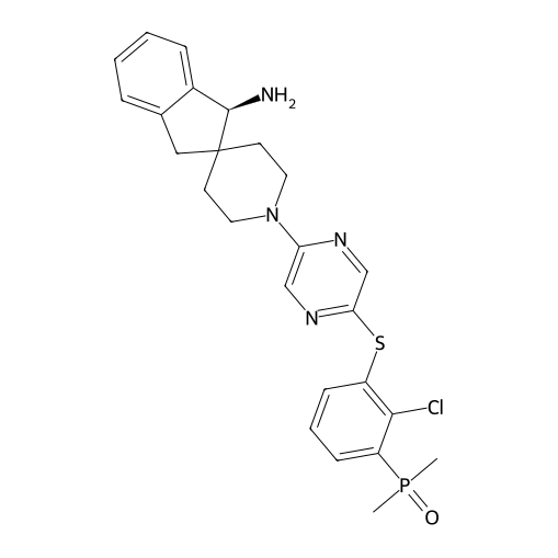 CP(C)(=O)c1cccc(Sc2cnc(N3CCC4(CC3)Cc3ccccc3[C@H]4N)cn2)c1Cl